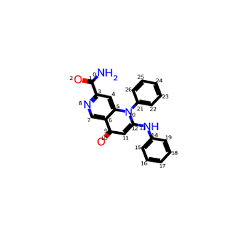 NC(=O)c1cc2c(cn1)c(=O)cc(Nc1ccccc1)n2-c1ccccc1